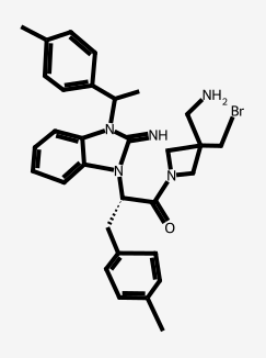 Cc1ccc(C[C@@H](C(=O)N2CC(CN)(CBr)C2)n2c(=N)n(C(C)c3ccc(C)cc3)c3ccccc32)cc1